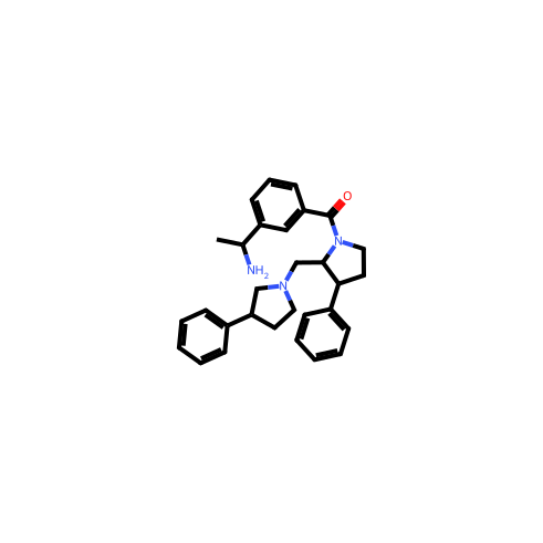 CC(N)c1cccc(C(=O)N2CCC(c3ccccc3)C2CN2CCC(c3ccccc3)C2)c1